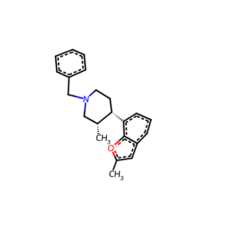 Cc1cc2cccc([C@H]3CCN(Cc4ccccc4)C[C@H]3C)c2o1